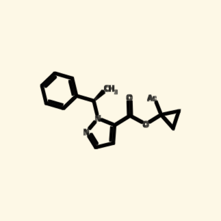 CC(=O)C1(OC(=O)c2ccnn2[C@H](C)c2ccccc2)CC1